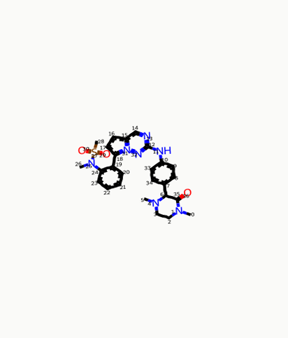 CN1CCN(C)C(c2ccc(Nc3ncc4ccc(-c5ccccc5N(C)S(C)(=O)=O)n4n3)cc2)C1=O